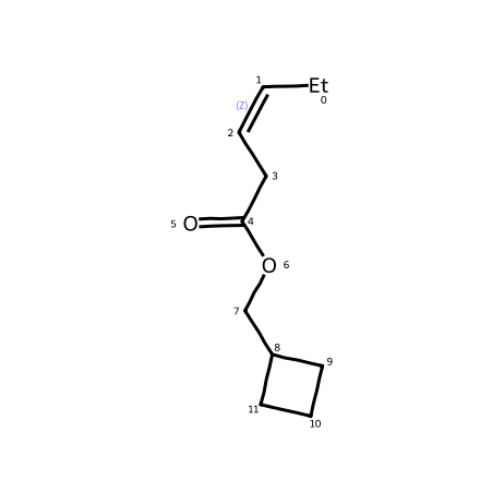 CC/C=C\CC(=O)OCC1CCC1